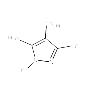 CCn1nc(C(F)(F)F)c(C(=O)O)c1N